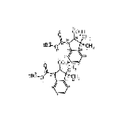 CC(C)(C)OC(=O)N1c2ccccc2C(C)(C)C1C(=O)O.CC(C)(C)OC(=O)N1c2ccccc2C(C)(C)C1C(=O)O